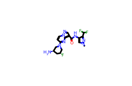 Cn1cc(NC(=O)c2cnn3ccc(N4C[C@H](N)C[C@@H](F)C4)nc23)c(C(F)F)n1